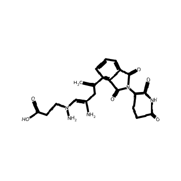 C=C(C/C(N)=C/N(N)CCC(=O)O)c1cccc2c1C(=O)N(C1CCC(=O)NC1=O)C2=O